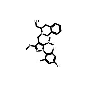 CSc1nn(-c2c(Cl)cc(Cl)cc2Cl)c(N(C)C)c1CN1Cc2ccccc2CC1CO